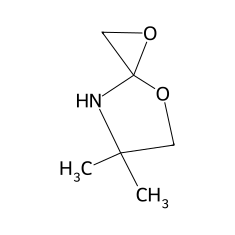 CC1(C)COC2(CO2)N1